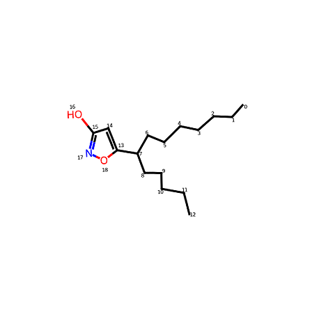 CCCCCCCC(CCCCC)c1cc(O)no1